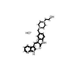 Cl.O=C1Nc2ccc(CN3CCN(CCO)CC3)cc2C1=Cc1c[nH]c2ncccc12